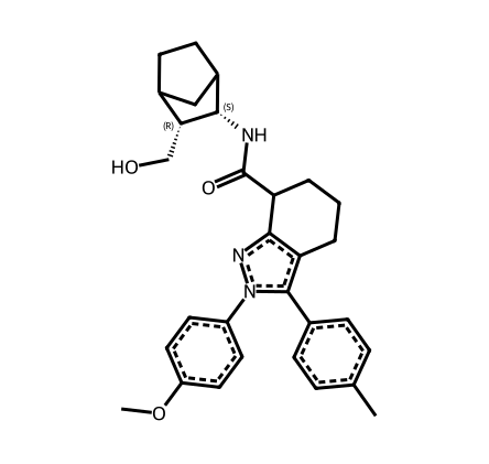 COc1ccc(-n2nc3c(c2-c2ccc(C)cc2)CCCC3C(=O)N[C@H]2C3CCC(C3)[C@H]2CO)cc1